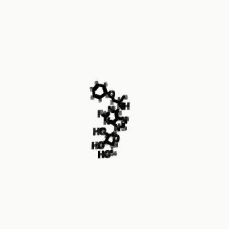 C[C@H](COc1ccccc1)Nc1nc(F)nc2c1ncn2[C@@H]1O[C@H](CO)C(O)C1O